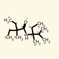 CCC(C)(CC)C(=O)NC(C)(CC)C(C)C